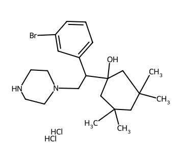 CC1(C)CC(C)(C)CC(O)(C(CN2CCNCC2)c2cccc(Br)c2)C1.Cl.Cl